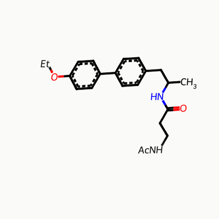 CCOc1ccc(-c2ccc(CC(C)NC(=O)CCNC(C)=O)cc2)cc1